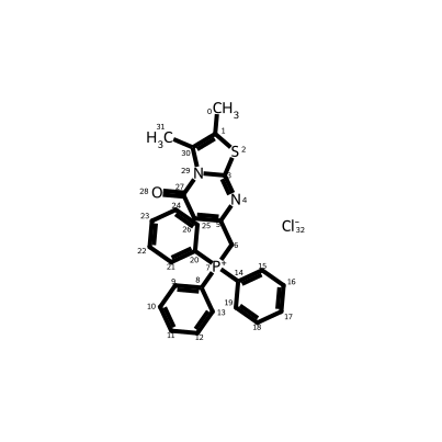 Cc1sc2nc(C[P+](c3ccccc3)(c3ccccc3)c3ccccc3)cc(=O)n2c1C.[Cl-]